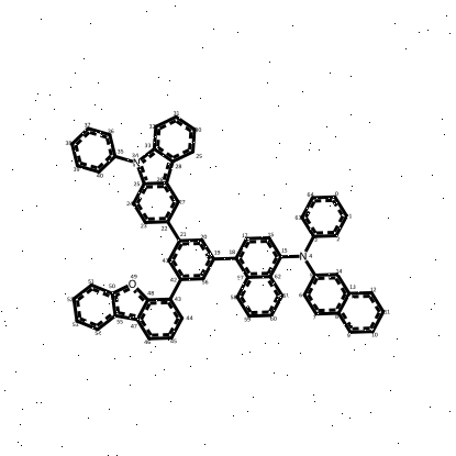 c1ccc(N(c2ccc3ccccc3c2)c2ccc(-c3cc(-c4ccc5c(c4)c4ccccc4n5-c4ccccc4)cc(-c4cccc5c4oc4ccccc45)c3)c3ccccc23)cc1